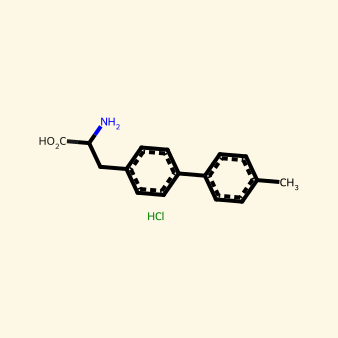 Cc1ccc(-c2ccc(CC(N)C(=O)O)cc2)cc1.Cl